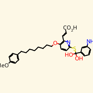 COc1ccc(CCCCCCCCOc2ccc(SC(O)(O)c3cccc(N)c3)nc2C=CC(=O)O)cc1